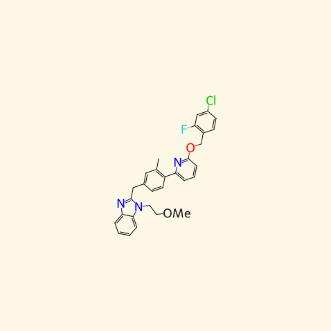 COCCn1c(Cc2ccc(-c3cccc(OCc4ccc(Cl)cc4F)n3)c(C)c2)nc2ccccc21